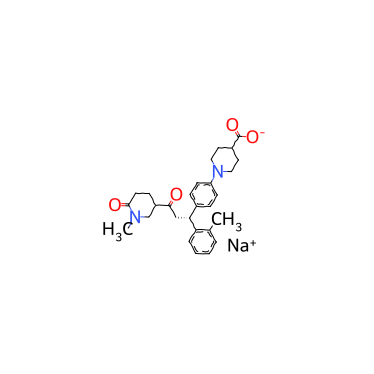 Cc1ccccc1[C@H](CC(=O)C1CCC(=O)N(C)C1)c1ccc(N2CCC(C(=O)[O-])CC2)cc1.[Na+]